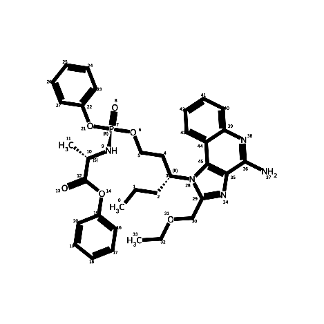 CCC[C@H](CCO[P@](=O)(N[C@@H](C)C(=O)Oc1ccccc1)Oc1ccccc1)n1c(COCC)nc2c(N)nc3ccccc3c21